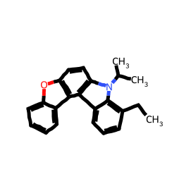 CCc1cccc2c3c4c(ccc3n(C(C)C)c12)oc1ccccc14